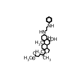 COC(=O)CC[C@@H](C)[C@H]1CCC2C3C[C@@H](O)[C@@H]4C[C@@H](NCCNc5ccccc5)CC[C@]4(C)C3CC[C@@]21C